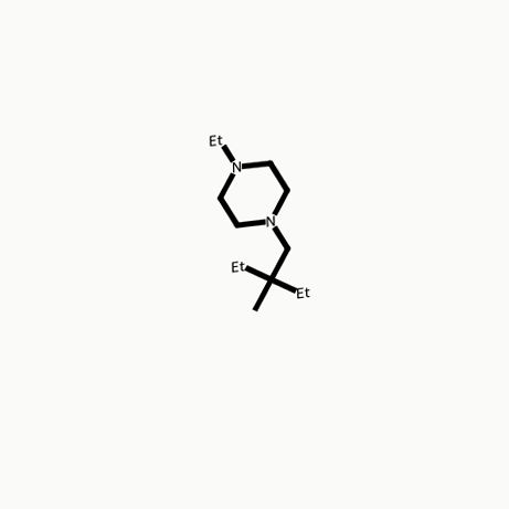 CCN1CCN(CC(C)(CC)CC)CC1